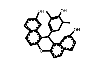 CC1=C(O)C(C)CC(C2c3c(ccc4ccc(O)cc34)Oc3ccc4ccc(O)cc4c32)=C1